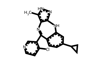 Cc1[nH]nc2c1N=C(c1cnccc1Cl)c1ccc(C3CC3)cc1N2